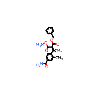 C/C(=C(/C(=O)ON)C(=O)OCc1ccccc1)c1ccc(C(N)=O)cc1C